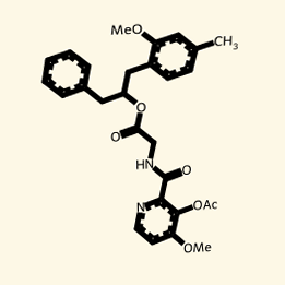 COc1cc(C)ccc1CC(Cc1ccccc1)OC(=O)CNC(=O)c1nccc(OC)c1OC(C)=O